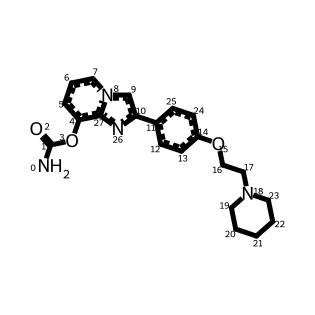 NC(=O)Oc1cccn2cc(-c3ccc(OCCN4CCCCC4)cc3)nc12